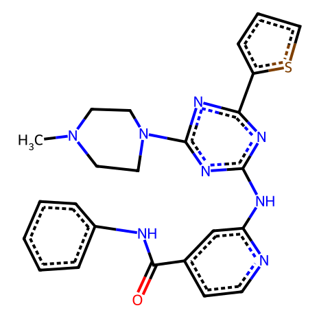 CN1CCN(c2nc(Nc3cc(C(=O)Nc4ccccc4)ccn3)nc(-c3cccs3)n2)CC1